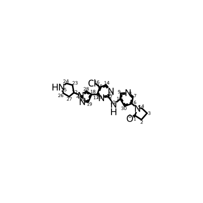 O=C1CCCN1c1cncc(Nc2ncc(Cl)c(-c3cnn(C4CCNCC4)c3)n2)c1